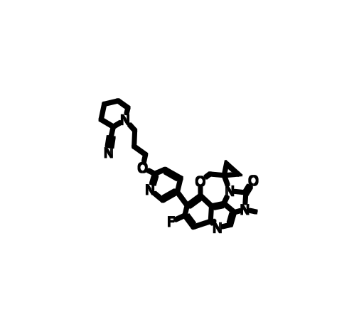 Cn1c(=O)n2c3c4c(c(-c5ccc(OCCCN6CCCCC6C#N)nc5)c(F)cc4ncc31)OCC21CC1